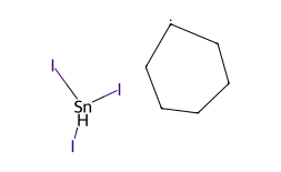 [CH]1CCCCC1.[I][SnH]([I])[I]